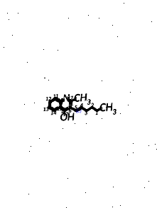 CCCC/C=C/c1c(C)nc2ccccc2c1O